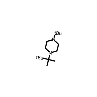 CC(C)(C)N1CCN(C(C)(C)C(C)(C)C)CC1